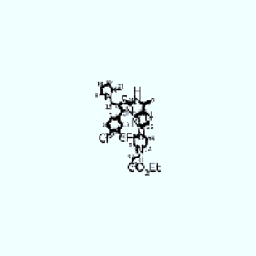 C=C(Nc1nc(-c2ccc(Cl)c(C(F)(F)F)c2)c(CN2CCC[C@H]2C)s1)c1cnc(N2CCN(CCC(=O)OCC)CC2)cn1